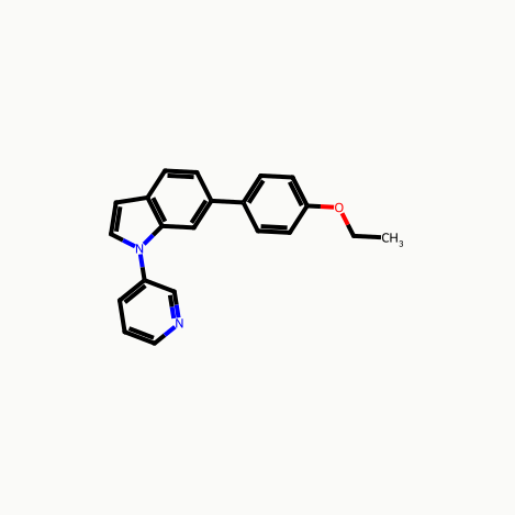 CCOc1ccc(-c2ccc3ccn(-c4cccnc4)c3c2)cc1